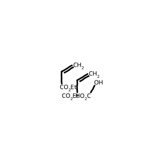 C=CC(=O)OCC.C=CC(=O)OCC.O=C(O)O